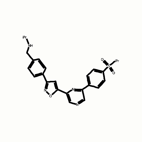 CC(C)NCc1ccc(-c2cc(-c3cncc(-c4ccc(S(=O)(=O)C(C)C)cc4)n3)on2)cc1